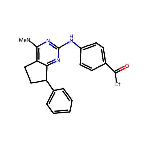 CCC(=O)c1ccc(Nc2nc(NC)c3c(n2)C(c2ccccc2)CC3)cc1